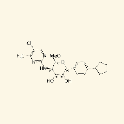 CO[C@H]1O[C@H](c2ccc(C3CCCC3)cc2)[C@H](O)[C@H](O)[C@H]1Nc1ncc(Cl)c(C(F)(F)F)n1